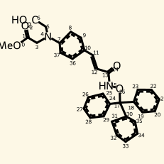 COC(=O)CN(CC(=O)O)c1ccc(/C=C/C(=O)NOC(c2ccccc2)(c2ccccc2)c2ccccc2)cc1